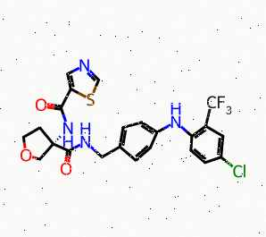 O=C(N[C@@]1(C(=O)NCc2ccc(Nc3ccc(Cl)cc3C(F)(F)F)cc2)CCOC1)c1cncs1